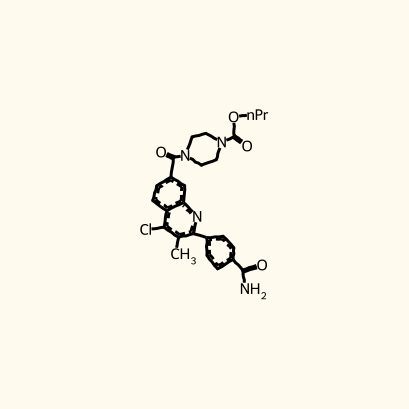 CCCOC(=O)N1CCN(C(=O)c2ccc3c(Cl)c(C)c(-c4ccc(C(N)=O)cc4)nc3c2)CC1